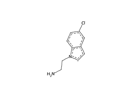 NCCn1[c]cc2cc(Cl)ccc21